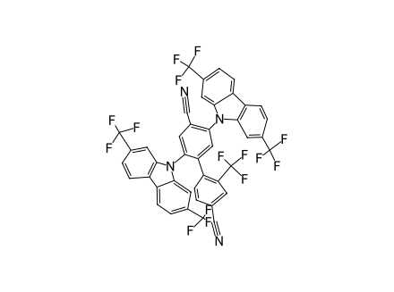 N#Cc1ccc(-c2cc(-n3c4cc(C(F)(F)F)ccc4c4ccc(C(F)(F)F)cc43)c(C#N)cc2-n2c3cc(C(F)(F)F)ccc3c3ccc(C(F)(F)F)cc32)c(C(F)(F)F)c1